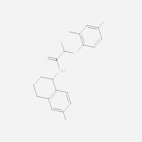 CCC(Oc1ccc(Cl)cc1Cl)C(=O)NC1CCCc2cc(F)ccc21